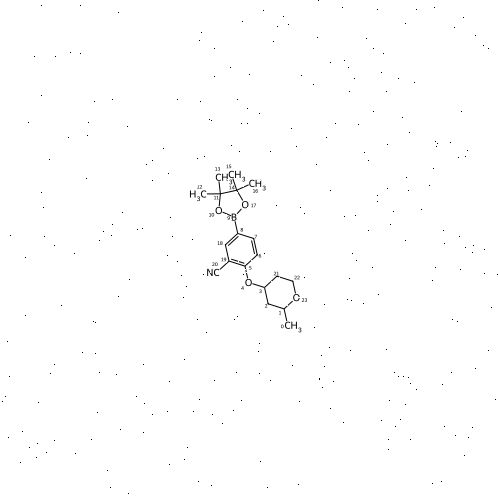 CC1CC(Oc2ccc(B3OC(C)(C)C(C)(C)O3)cc2C#N)CCO1